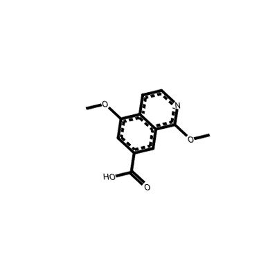 COc1cc(C(=O)O)cc2c(OC)nccc12